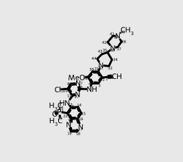 C#Cc1cc(Nc2ncc(Cl)c(Nc3ccc4nccnc4c3P(C)(C)=O)n2)c(OC)cc1N1CCC(N2CCN(C)CC2)CC1